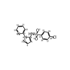 O=S(=O)(Nc1ccnn1-c1ccccn1)c1ccc(Cl)cc1